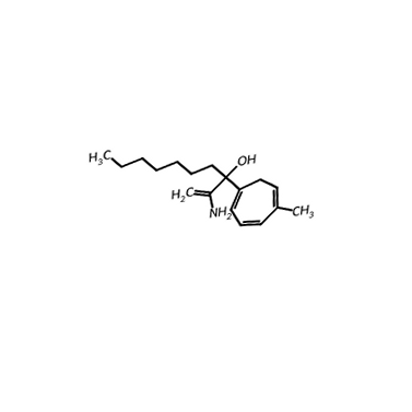 C=C(N)C(O)(CCCCCCC)C1=CC=CC(C)=CC1